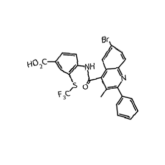 Cc1c(-c2ccccc2)nc2ccc(Br)cc2c1C(=O)Nc1ccc(C(=O)O)cc1SC(F)(F)F